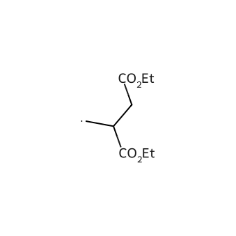 [CH2]C(CC(=O)OCC)C(=O)OCC